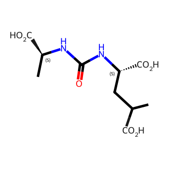 CC(C[C@H](NC(=O)N[C@@H](C)C(=O)O)C(=O)O)C(=O)O